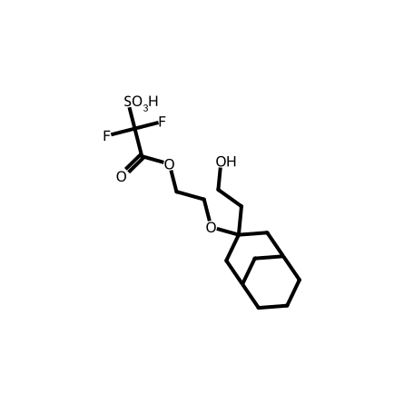 O=C(OCCOC1(CCO)CC2CCCC(C2)C1)C(F)(F)S(=O)(=O)O